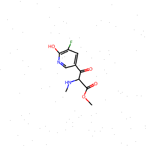 CNC(C(=O)OC)C(=O)c1cnc(O)c(F)c1